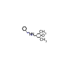 CC1=CC(=C/N=N/C=C/c2ccccc2)C=C(C)C1=O